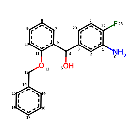 Nc1cc(C(O)c2ccccc2OCc2ccccc2)ccc1F